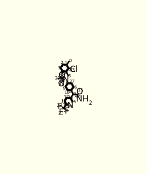 Cc1cccc(CN(c2ccc(C(C(N)=O)c3ccc(C(F)(F)F)nc3)cc2)S(C)(=O)=O)c1Cl